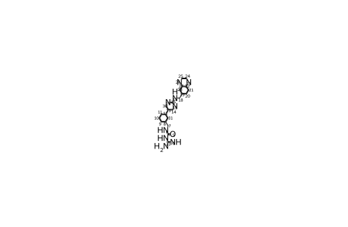 N=C(N)NC(=O)NCc1cccc(-c2cnc(NCc3ccc4nccnc4c3)nc2)c1